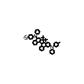 Cc1ccc(N(c2ccccc2)c2ccc3c4c(c5ccccc5c3c2)-c2c(cc(N(c3ccccc3)c3ccc([Si](C)(C)C)cc3)c3ccccc23)C4(C(C)(C)C)C(C)(C)C)cc1